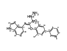 Cc1cc(-c2cccnc2)cc(C)c1OC(=Cc1cccc2[nH]ccc12)C(=O)NN